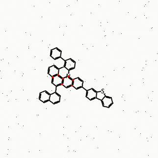 c1ccc(-c2ccccc2-c2c(-c3ccccc3)cccc2N(c2ccc(-c3ccc4c(c3)sc3ccccc34)cc2)c2cccc(-c3cccc4ccccc34)c2)cc1